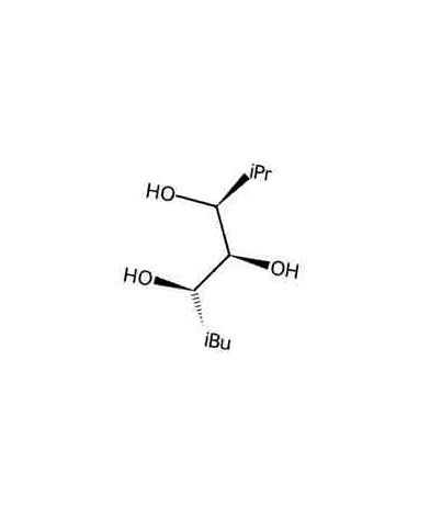 CC[C@@H](C)[C@@H](O)[C@H](O)[C@@H](O)C(C)C